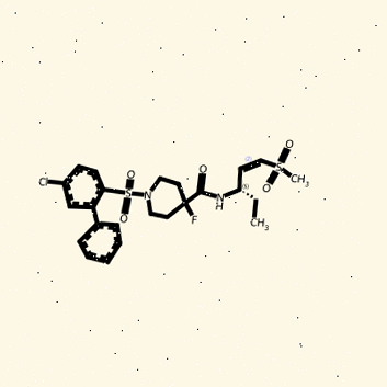 CC[C@@H](/C=C\S(C)(=O)=O)NC(=O)C1(F)CCN(S(=O)(=O)c2ccc(Cl)cc2-c2ccccc2)CC1